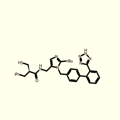 CCCCc1ncc(CNC(=O)[C@H](CS)CC(C)C)n1Cc1ccc(-c2ccccc2-c2nn[nH]n2)cc1